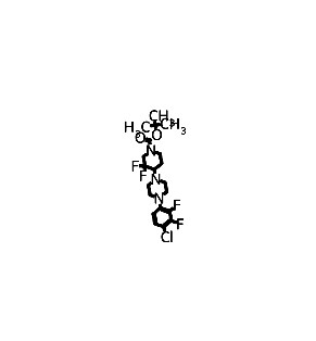 CC(C)(C)OC(=O)N1CCC(N2CCN(c3ccc(Cl)c(F)c3F)CC2)C(F)(F)C1